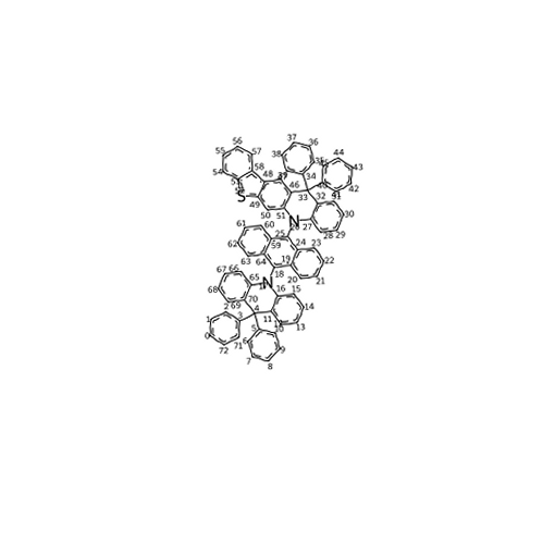 c1ccc(C2(c3ccccc3)c3ccccc3N(c3c4ccccc4c(N4c5ccccc5C(c5ccccc5)(c5ccccc5)c5cc6c(cc54)sc4ccccc46)c4ccccc34)c3ccccc32)cc1